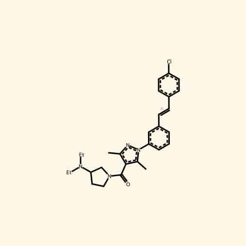 CCN(CC)C1CCN(C(=O)c2c(C)nn(-c3cccc(/C=C/c4ccc(Cl)cc4)c3)c2C)C1